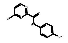 O=C(Nc1ccc(O)cc1)c1nccc(Cl)n1